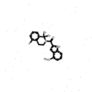 CCC1(C(C)C)c2cccc(F)c2CCN1C(=O)c1cc2c(OC)cccc2[nH]1